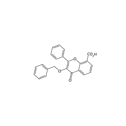 O=C(O)c1cccc2c(=O)c(OCc3ccccc3)c(-c3ccccc3)oc12